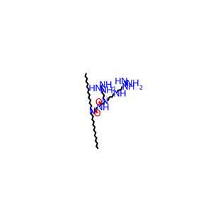 CCCCCCCCCCCCCCN(CCCCCCCCCCCCCC)C(=O)CNC(=O)CN(CCCCNCCCNC(=N)N)CCCNC(=N)N